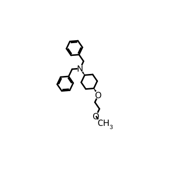 COCCO[C@H]1CC[C@@H](N(Cc2ccccc2)Cc2ccccc2)CC1